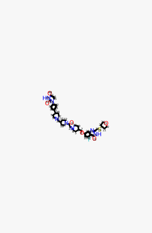 O=C(CN1CCC(COc2cc(F)c3c(=O)[nH]c(CSC4CCOCC4)nc3c2)CC1)N1CCC(CN2CCC(c3ccc(-n4ccc(=O)[nH]c4=O)cc3)CC2)CC1